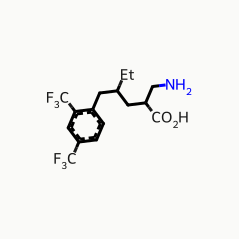 CCC(Cc1ccc(C(F)(F)F)cc1C(F)(F)F)CC(CN)C(=O)O